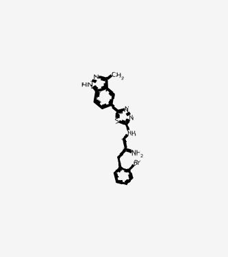 Cc1n[nH]c2ccc(-c3nnc(NCC(N)Cc4ccccc4Br)s3)cc12